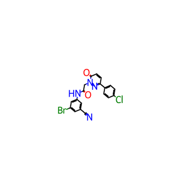 N#Cc1cc(Br)cc(NC(=O)Cn2nc(-c3ccc(Cl)cc3)ccc2=O)c1